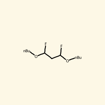 CCCCOC(F)CC(F)OCCCC